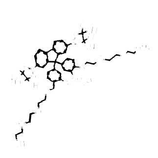 CCOC(=O)c1cc(C2(c3ccc(COCCOCCOCCO)c(C(C)=O)c3)c3cc(B4OC(C)(C)C(C)(C)O4)ccc3-c3ccc(B4OC(C)(C)C(C)(C)O4)cc32)ccc1OCCOCCOCCOC